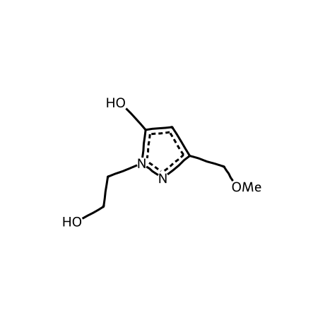 COCc1cc(O)n(CCO)n1